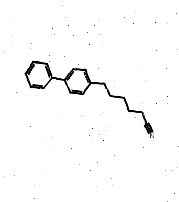 N#CCCCCCc1ccc(-c2ccccc2)cc1